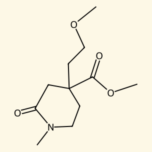 COCCC1(C(=O)OC)CCN(C)C(=O)C1